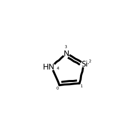 C1=C[Si]=NN1